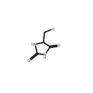 O=C1NC(=O)C(CCl)N1